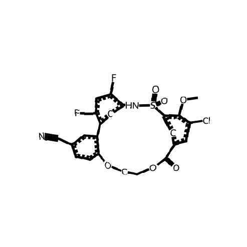 COc1c(Cl)cc2cc1S(=O)(=O)Nc1cc(c(F)cc1F)-c1cc(C#N)ccc1OCCOC2=O